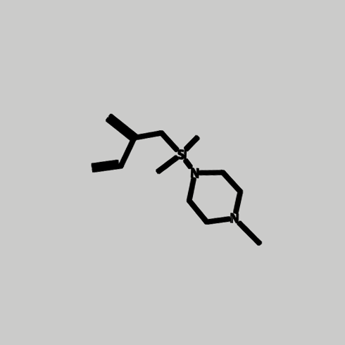 C=CC(=C)C[Si](C)(C)N1CCN(C)CC1